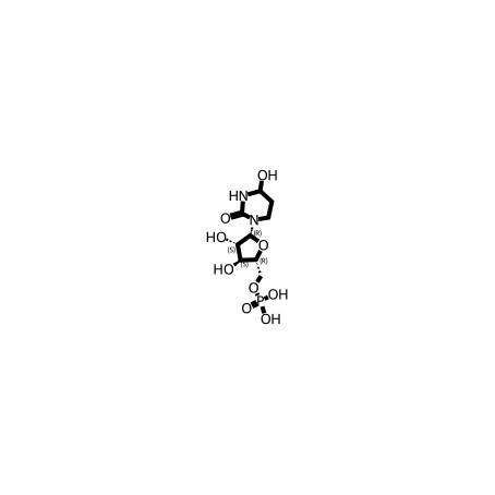 O=C1NC(O)CCN1[C@@H]1O[C@H](COP(=O)(O)O)[C@@H](O)[C@@H]1O